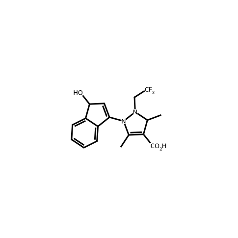 CC1=C(C(=O)O)C(C)N(CC(F)(F)F)N1C1=CC(O)c2ccccc21